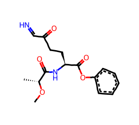 CO[C@H](C)C(=O)N[C@@H](CCC(=O)C=N)C(=O)Oc1ccccc1